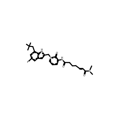 CN(C)C(=O)/C=C/CC[CH]C(=O)Nc1cccn(Cc2cc3cc(F)cc(CC(C)(C)C)c3[nH]2)c1=O